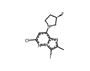 Cc1nc2c(N3CC[C@@H](F)C3)cc(Cl)nn2c1I